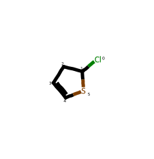 Cl[C]1CC=CS1